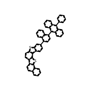 c1ccc(-c2c3ccccc3c(-c3ccc(-c4ccc5c(c4)sc4ccc6c7ccc8ccccc8c7sc6c45)c4ccccc34)c3ccccc23)cc1